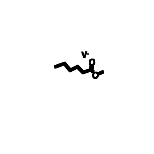 CCCCCC(=O)OC.[V]